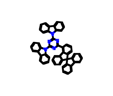 c1ccc2c(c1)-c1ccccc1C21c2ccccc2-c2c(-c3nc(-n4c5ccccc5c5ccccc54)nc(-n4c5ccccc5c5ccccc54)n3)cccc21